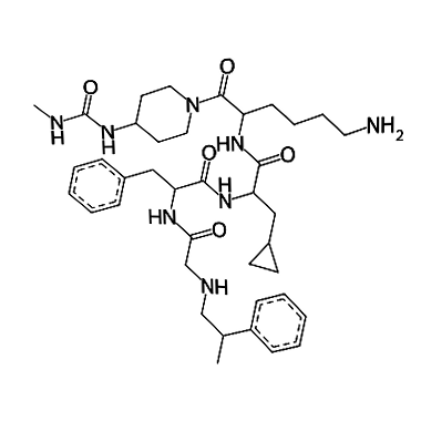 CNC(=O)NC1CCN(C(=O)C(CCCCN)NC(=O)C(CC2CC2)NC(=O)C(Cc2ccccc2)NC(=O)CNCC(C)c2ccccc2)CC1